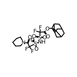 O=C(OC1=C2CC3CC(C2)CC1C3)C(F)(F)S(=O)(=O)NS(=O)(=O)C(F)(F)C(=O)N1CCCCC1